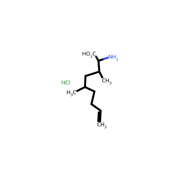 C=CCCC(C)CC(C)C(N)C(=O)O.Cl